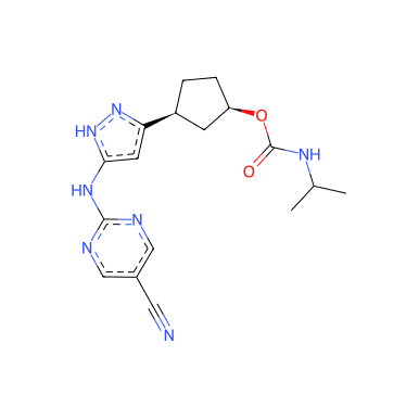 CC(C)NC(=O)O[C@@H]1CC[C@H](c2cc(Nc3ncc(C#N)cn3)[nH]n2)C1